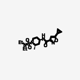 CCN(CC)S(=O)(=O)N1CC[C@H](NC(=O)c2cc(C3CC3)on2)C[C@@H]1C